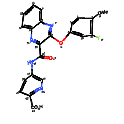 COc1ccc(Oc2nc3ccccc3nc2C(=O)Nc2ccc(C(=O)O)nc2)cc1F